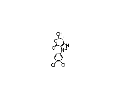 CC1Cc2ncn(-c3ccc(Cl)c(Cl)c3)c2C(=O)O1